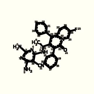 C[C@H](Nc1nc(N)nc(N)c1C#N)c1c(-c2ccccc2)c(=O)n2cc(F)ccc2c1-c1ccccc1